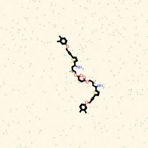 Cc1ccc(OCC#Cc2ccc(C(N)C[C@@H](C)COC(=O)/C=C\C(=O)OC[C@H](C)CC(N)c3ccc(C#CCOc4ccc(C)c(C)c4)s3)s2)cc1C